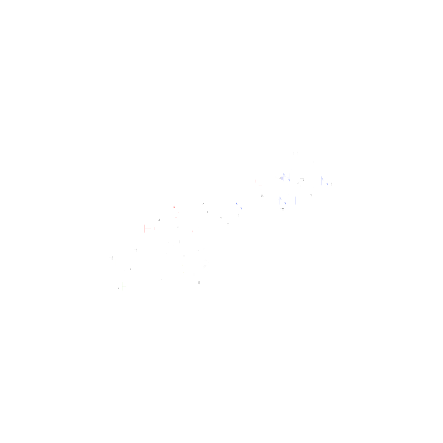 O=C(C[N+]12CCC(CC1)C(OC(=O)[C@@](O)(c1cccs1)C1CCC(F)(F)C1)C2)Nc1cnccn1